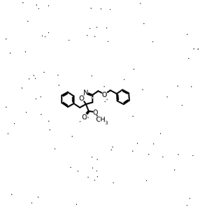 COC(=O)C1(Cc2ccccc2)CC(COCc2ccccc2)=NO1